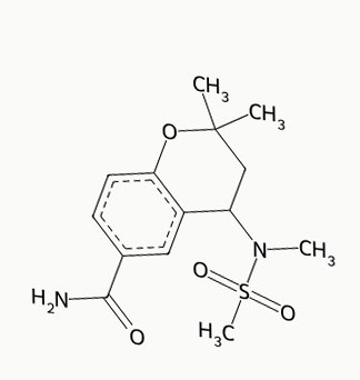 CN(C1CC(C)(C)Oc2ccc(C(N)=O)cc21)S(C)(=O)=O